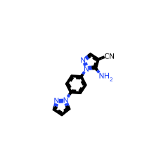 N#Cc1cnn(-c2ccc(-n3cccn3)cc2)c1N